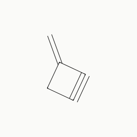 C=C1C#CC1